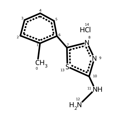 Cc1ccccc1-c1nnc(NN)s1.Cl